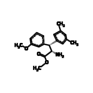 COC(=O)[C@@H](N)[C@@H](c1cc(C)cc(C)c1)c1cccc(OC)c1